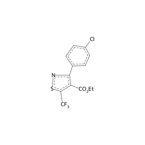 CCOC(=O)c1c(-c2ccc(Cl)cc2)nsc1C(F)(F)F